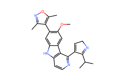 COc1cc2c(cc1-c1c(C)noc1C)[nH]c1ccnc(C3=CCN=C3C(C)C)c12